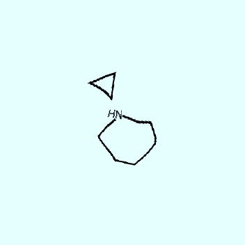 C1CC1.C1CCNCC1